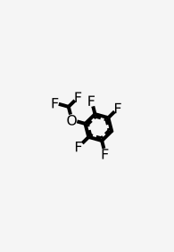 Fc1cc(F)c(F)c(OC(F)F)c1F